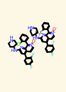 Cc1ccccc1-c1c2nc(NC3CCNCC3)cc(-c3ccc(F)cc3F)c2cc[n+]1[O-].[O-][n+]1ccc2c(-c3ccc(F)cc3F)cc(NC3CCNCC3)nc2c1-c1ccccc1Cl